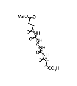 COC(=O)CCC(=O)NC(=O)NONC(=O)NC(=O)CCC(=O)O